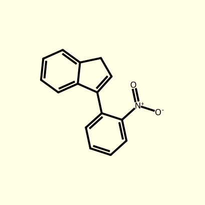 O=[N+]([O-])c1ccccc1C1=CCc2ccccc21